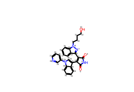 O=C1NC(=O)C(c2nn(CCCCO)c3ccccc23)=C1c1cn(-c2cccnc2)c2ccccc12